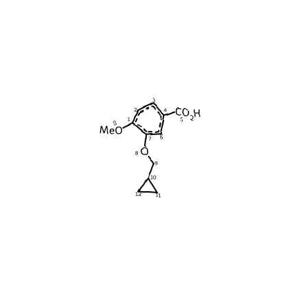 COc1ccc(C(=O)O)cc1OCC1CC1